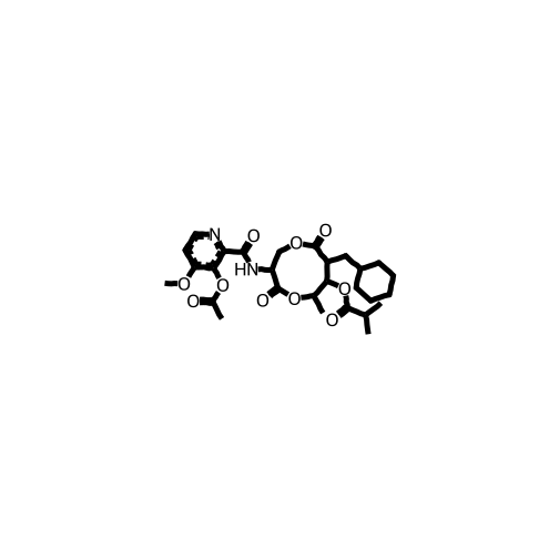 COc1ccnc(C(=O)NC2COC(=O)C(CC3CCCCC3)C(OC(=O)C(C)C)C(C)OC2=O)c1OC(C)=O